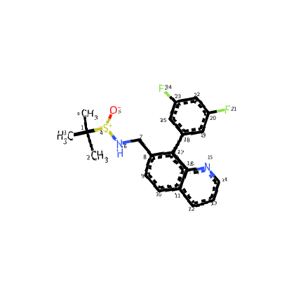 CC(C)(C)[S+]([O-])NCc1ccc2cccnc2c1-c1cc(F)cc(F)c1